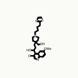 COc1ccc2ncc(Cl)c(C(O)CCC3(CO)CCN(CCCCc4nccs4)CC3)c2c1